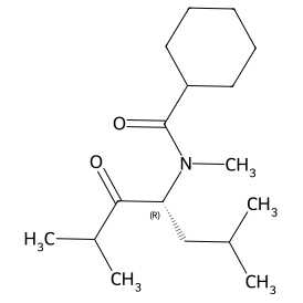 CC(C)C[C@H](C(=O)C(C)C)N(C)C(=O)C1CCCCC1